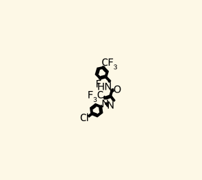 O=C(NCc1cc(C(F)(F)F)ccc1F)c1cnn(-c2ccc(Cl)cc2)c1C(F)(F)F